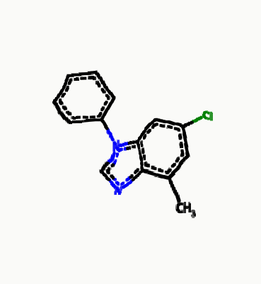 Cc1cc(Cl)cc2c1ncn2-c1ccccc1